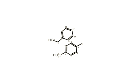 Cc1ccc(S(=O)(=O)O)cc1.OCc1ccccc1